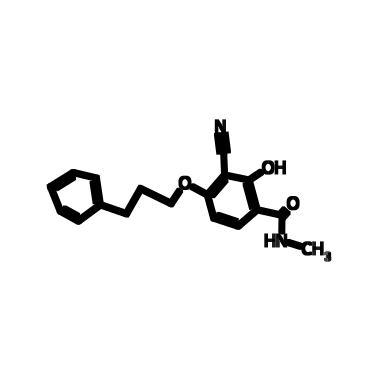 CNC(=O)c1ccc(OCCCc2ccccc2)c(C#N)c1O